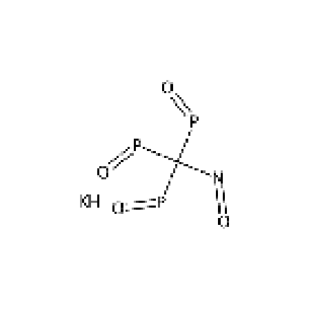 O=NC(P=O)(P=O)P=O.[KH]